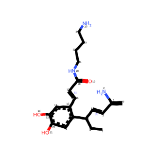 C=C(N)/C=C/C(CC)c1cc(O)c(O)cc1/C=C/C(=O)NCCCCN